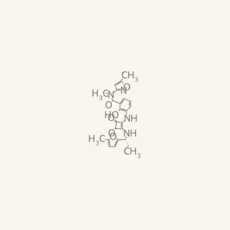 CC[C@@H](Nc1c(Nc2cccc(C(=O)N(C)c3cc(C)on3)c2O)c(=O)c1=O)c1ccc(C)o1